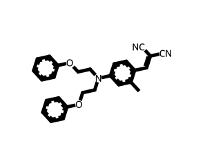 Cc1cc(N(CCOc2ccccc2)CCOc2ccccc2)ccc1C=C(C#N)C#N